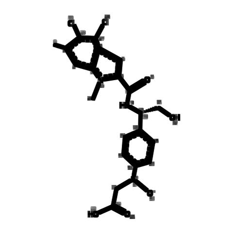 Cc1cc2c(cc(C(=O)N[C@H](CO)c3ccc([S+]([O-])CC(=O)O)cc3)n2C)c(Cl)c1Cl